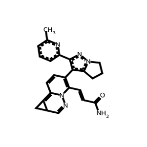 Cc1cccc(-c2nn3c(c2C2=C(/C=C/C(N)=O)N4N=CC5CC5=C4C=C2)CCC3)n1